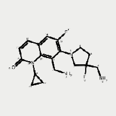 NCc1c(N2CCC(F)(CN)C2)c(F)cc2ccc(=O)n(C3CC3)c12